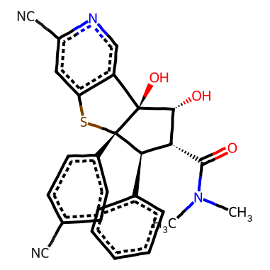 CN(C)C(=O)[C@H]1[C@@H](O)[C@@]2(O)c3cnc(C#N)cc3S[C@@]2(c2ccc(C#N)cc2)[C@@H]1c1ccccc1